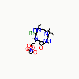 CCC1=C(C)c2cc3[nH]c(c(C)c3CC)c(Br)c3nc(c4c5[nH]c(cc1n2)c(C)c5C(=O)C4)[C@@H](CCC(=O)ON1C(=O)CCC1=O)[C@@H]3C